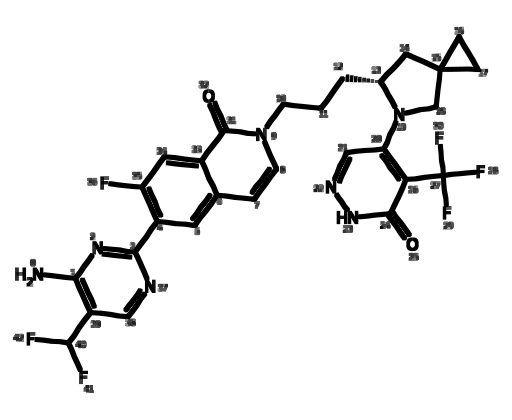 Nc1nc(-c2cc3ccn(CCC[C@@H]4CC5(CC5)CN4c4cn[nH]c(=O)c4C(F)(F)F)c(=O)c3cc2F)ncc1C(F)F